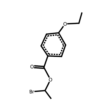 CCOc1ccc(C(=O)OC(C)Br)cc1